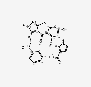 Cc1nn(C)c(OCC(=O)c2ccccc2)c1C(=O)c1ccc(Cl)cc1Cl.O=C(O)c1cc[nH]n1